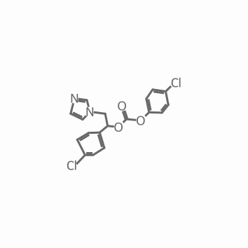 O=C(Oc1ccc(Cl)cc1)OC(Cn1ccnc1)c1ccc(Cl)cc1